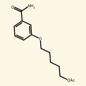 CC(=O)OCCCCCOc1cccc(C(N)=O)c1